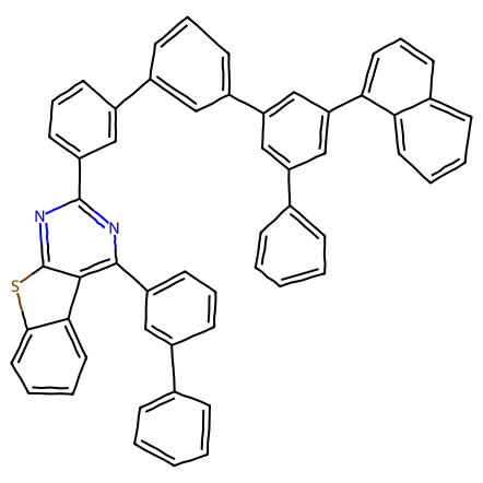 c1ccc(-c2cc(-c3cccc(-c4cccc(-c5nc(-c6cccc(-c7ccccc7)c6)c6c(n5)sc5ccccc56)c4)c3)cc(-c3cccc4ccccc34)c2)cc1